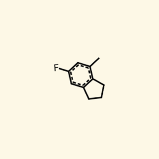 Cc1cc(F)cc2c1CCC2